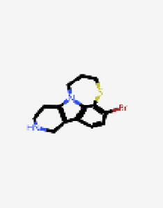 Brc1ccc2c3c(n4c2c1SCCC4)CCNC3